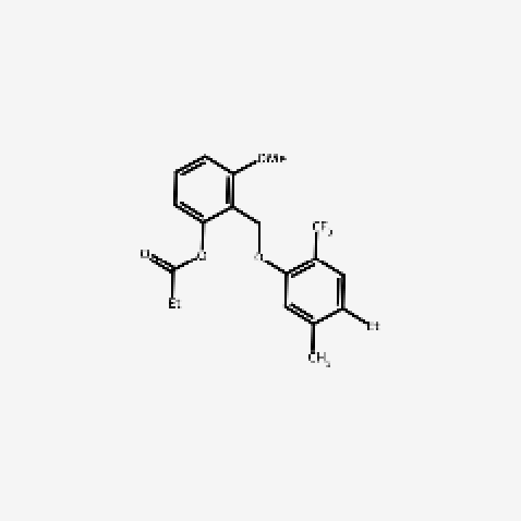 CCC(=O)Oc1cccc(OC)c1COc1cc(C)c(CC)cc1C(F)(F)F